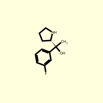 CC(O)(c1cccc(F)c1)[C@@H]1CCCN1